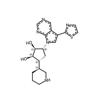 O[C@@H]1[C@H](O)[C@@H]([C@@H]2CCCNC2)C[C@H]1n1cc(-c2nccs2)c2cncnc21